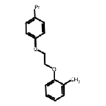 Cc1ccccc1OCCOc1ccc(C(C)C)cc1